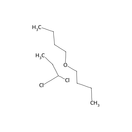 CCC(Cl)Cl.CCCCOCCCC